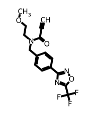 C#CC(=O)N(CCOC)Cc1ccc(-c2noc(C(F)(F)F)n2)cc1